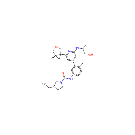 Cc1ccc(NC(=O)N2CCC(CC(F)(F)F)C2)cc1-c1cc(NC(C)CO)nc([C@]23COC[C@H]2C3)c1